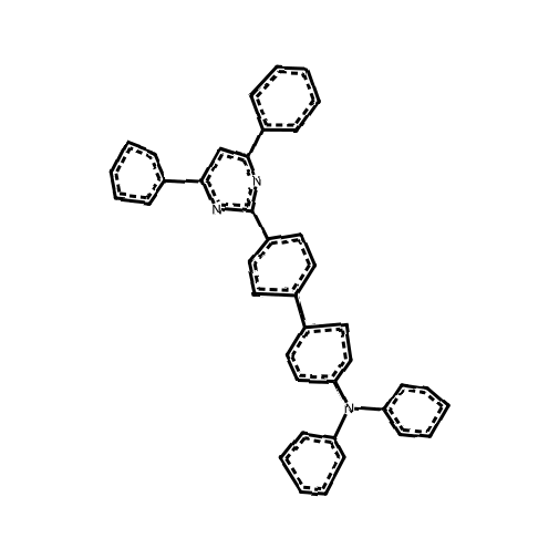 c1ccc(-c2cc(-c3ccccc3)nc(-c3ccc(-c4ccc(N(c5ccccc5)c5ccccc5)cc4)cc3)n2)cc1